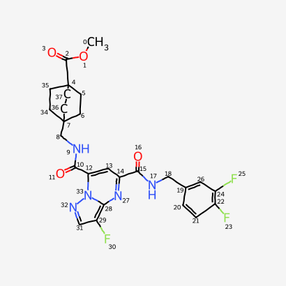 COC(=O)C12CCC(CNC(=O)c3cc(C(=O)NCc4ccc(F)c(F)c4)nc4c(F)cnn34)(CC1)CC2